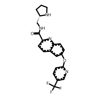 O=C(NC[C@@H]1CCCN1)c1ccc2cc(Oc3ccc(C(F)(F)F)cn3)ccc2n1